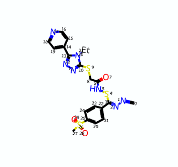 C=N/N=C(\SNC(=O)CSc1nnc(-c2ccncc2)n1CC)c1ccc(S(C)(=O)=O)cc1